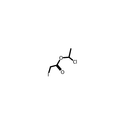 CC(Cl)OC(=O)CI